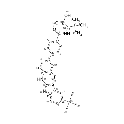 CC(C)(C)[C@H](NC(=O)c1ccc(-c2ccc(Nc3nc4ncc(C(F)(F)F)cc4s3)c(F)c2)cc1)C(=O)O